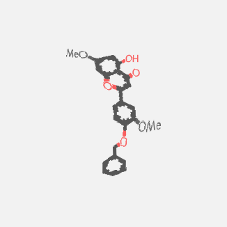 COc1cc(O)c2c(=O)cc(-c3ccc(OCc4ccccc4)c(OC)c3)oc2c1